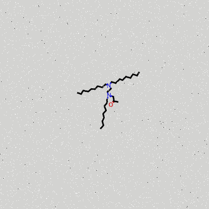 CCCCCCCCCN(CCCCCCCCC)CCN(CCCCCCCCC)CC(C)=O